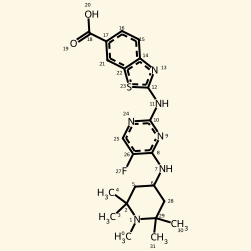 CN1C(C)(C)CC(Nc2nc(Nc3nc4ccc(C(=O)O)cc4s3)ncc2F)CC1(C)C